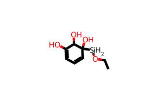 CCO[SiH2]C1(O)C=CC=C(O)C1O